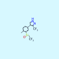 Cc1ccc(-c2c[nH]nc2C(F)(F)F)cc1[S+]([O-])CC(F)(F)F